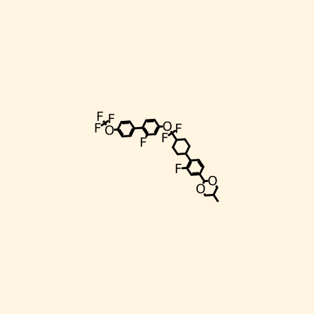 CC1COC(c2ccc(C3CCC(C(F)(F)Oc4ccc(-c5ccc(OC(F)(F)F)cc5)c(F)c4)CC3)c(F)c2)OC1